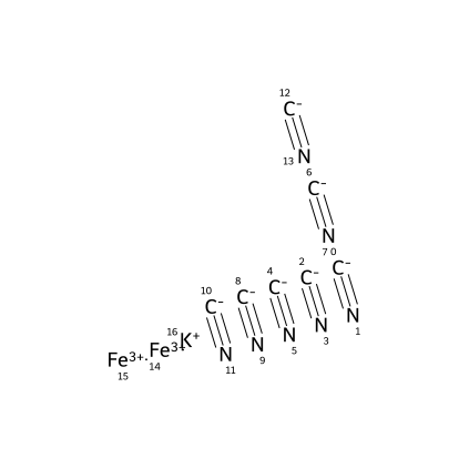 [C-]#N.[C-]#N.[C-]#N.[C-]#N.[C-]#N.[C-]#N.[C-]#N.[Fe+3].[Fe+3].[K+]